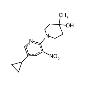 CC1(O)CCN(c2ncc(C3CC3)cc2[N+](=O)[O-])CC1